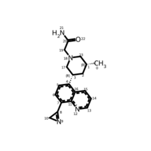 C[C@@H]1C[C@H](c2ccc(C3=NC3)c3ncccc23)CN(CC(N)=O)C1